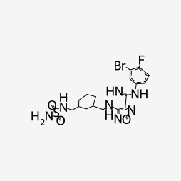 N=C(Nc1ccc(F)c(Br)c1)c1nonc1NCC1CCCC(CNS(N)(=O)=O)C1